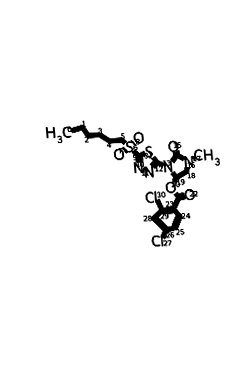 CCCCCCS(=O)(=O)c1nnc(N2C(=O)N(C)CC2OC(=O)c2ccc(Cl)cc2Cl)s1